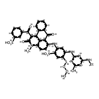 CCNc1nc(C)nc(Nc2cc(Nc3ccc4c5c3C(=O)c3ccccc3-c5c(C(=O)c3cccc(S(=O)(=O)O)c3)c(=O)n4C)c(S(=O)(=O)O)cc2SOOO)n1